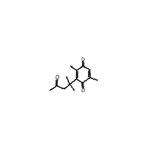 CC(=O)CC(C)(C)C1=C(C)C(=O)C=C(C)C1=O